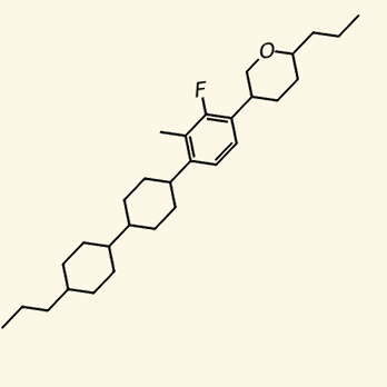 CCCC1CCC(C2CCC(c3ccc(C4CCC(CCC)OC4)c(F)c3C)CC2)CC1